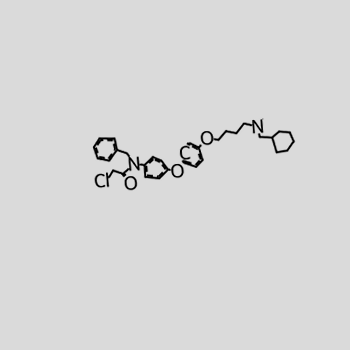 CN(CCCCOc1ccc(Oc2ccc(N(Cc3ccccc3)C(=O)CCl)cc2)cc1)CC1CCCCC1